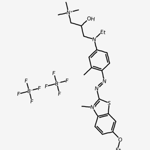 CCOc1ccc2c(c1)sc(N=Nc1ccc(N(CC)CC(O)C[N+](C)(C)C)cc1C)[n+]2C.F[B-](F)(F)F.F[B-](F)(F)F